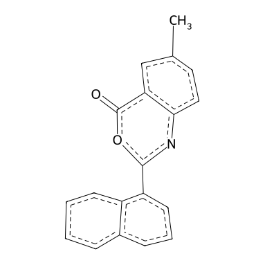 Cc1ccc2nc(-c3cccc4ccccc34)oc(=O)c2c1